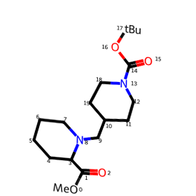 COC(=O)C1CCCCN1CC1CCN(C(=O)OC(C)(C)C)CC1